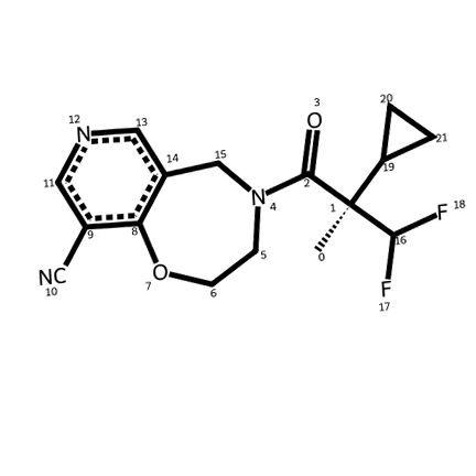 C[C@@](C(=O)N1CCOc2c(C#N)cncc2C1)(C(F)F)C1CC1